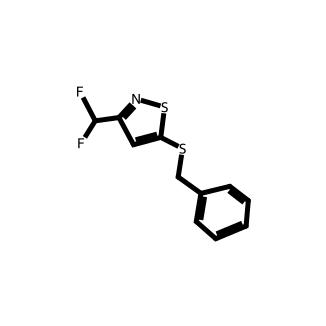 FC(F)c1cc(SCc2ccccc2)sn1